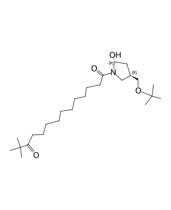 CC(C)(C)OC[C@@H]1C[C@@H](O)N(C(=O)CCCCCCCCCCC(=O)C(C)(C)C)C1